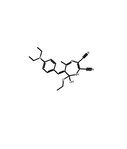 CCOC1(O)NC(C#N)=C(C#N)N=C(C)C1=Cc1ccc(N(CC)CC)cc1